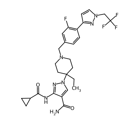 CCC1(n2cc(C(N)=O)c(NC(=O)C3CC3)n2)CCN(Cc2ccc(-c3ccn(CC(F)(F)F)n3)c(F)c2)CC1